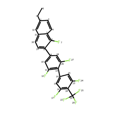 CCc1ccc2c(F)c(-c3cc(F)c(-c4cc(F)c(C(F)(F)F)c(F)c4)c(F)c3)ccc2c1